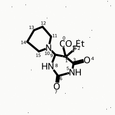 CCOC(=O)C1(F)C(=O)NC(=O)NC1N1CCCCC1